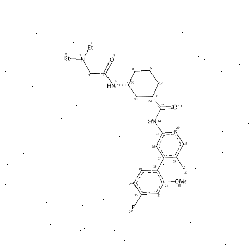 CCN(CC)CC(=O)N[C@@H]1CCC[C@H](C(=O)Nc2cc(-c3ccc(F)cc3OC)c(F)cn2)C1